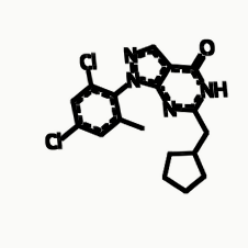 Cc1cc(Cl)cc(Cl)c1-n1ncc2c(=O)[nH]c(CC3CCCC3)nc21